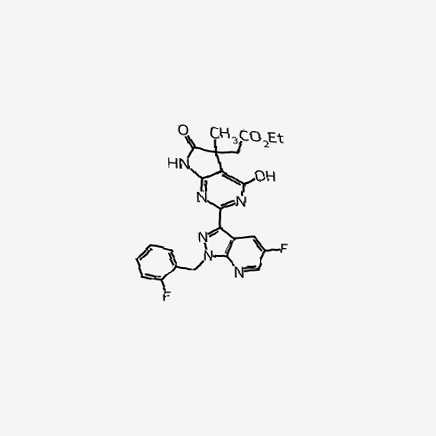 CCOC(=O)CC1(C)C(=O)Nc2nc(-c3nn(Cc4ccccc4F)c4ncc(F)cc34)nc(O)c21